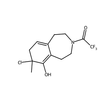 CC1(Cl)CC=C2CCN(C(=O)C(F)(F)F)CCC2=C1O